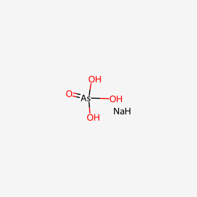 O=[As](O)(O)O.[NaH]